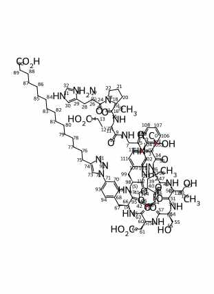 C[C@@H](O)[C@H](NC(=O)CNC(=O)[C@H](CCC(=O)O)NC(=O)[C@]1(C)CCCN1C(=O)[C@@H](N)Cc1c[nH]cn1)C(=O)NC(C)(Cc1ccccc1F)C(=O)N[C@H](C(=O)N[C@@H](CO)C(=O)N[C@@H](CC(=O)O)C(=O)N[C@@H](Cc1ccc(-n2cc(CCCCCCCCCCCCCCCC(=O)O)nn2)cc1)C(=O)N[C@@H](Cc1ccc(-c2ccccc2)cc1)C(N)=O)[C@@H](C)O